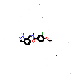 CCOc1ccc(C(=O)N(C)Cc2cccc3cn[nH]c23)cc1F